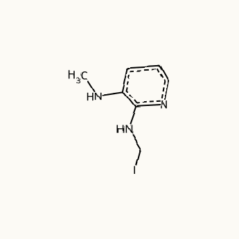 CNc1cccnc1NCI